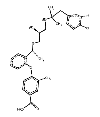 Cc1cc(C(=O)O)ccc1Oc1ccccc1C(C)OC[C@@H](O)CNC(C)(C)Cc1ccc(Cl)c(F)c1